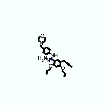 C=CCOc1cc(OCC=C)c(/C(=N/N)Nc2ccc(CN3CCOCC3)cc2)cc1CC#CC